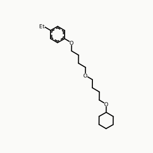 CCc1ccc(OCCCCOCCCCOC2CCCCC2)cc1